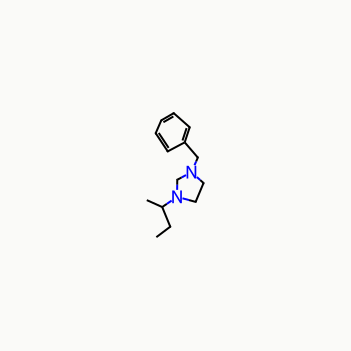 CCC(C)N1CCN(Cc2ccccc2)C1